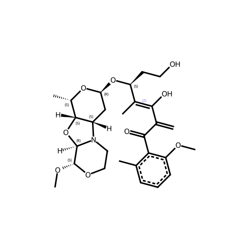 C=C(C(=O)c1c(C)cccc1OC)/C(O)=C(\C)[C@H](CCO)O[C@H]1C[C@H]2[C@H](O[C@@H]3[C@@H](OC)OCCN32)[C@H](C)O1